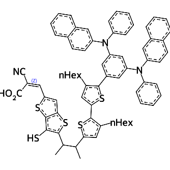 CCCCCCc1cc(-c2sc(C(C)C(C)c3sc4cc(/C=C(/C#N)C(=O)O)sc4c3S)cc2CCCCCC)sc1-c1cc(N(c2ccccc2)c2ccc3ccccc3c2)cc(N(c2ccccc2)c2ccc3ccccc3c2)c1